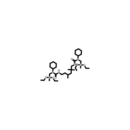 CCO[Si](C)(CN(C(=O)NCCC(C)CC(C)(C)CNC(=O)N(C[Si](C)(OCC)OCC)C1CCCCC1)C1CCCCC1)OCC